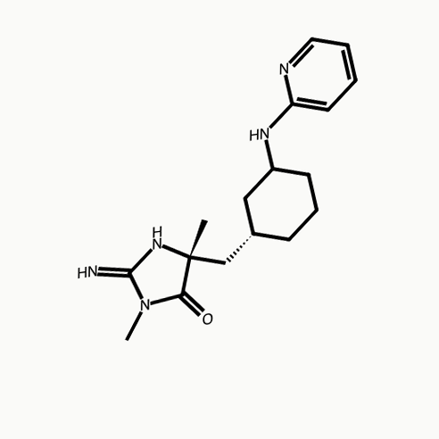 CN1C(=N)N[C@](C)(C[C@H]2CCCC(Nc3ccccn3)C2)C1=O